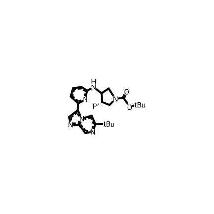 CC(C)(C)OC(=O)N1CC(Nc2cccc(-c3cnc4cnc(C(C)(C)C)cn34)n2)[C@@H](F)C1